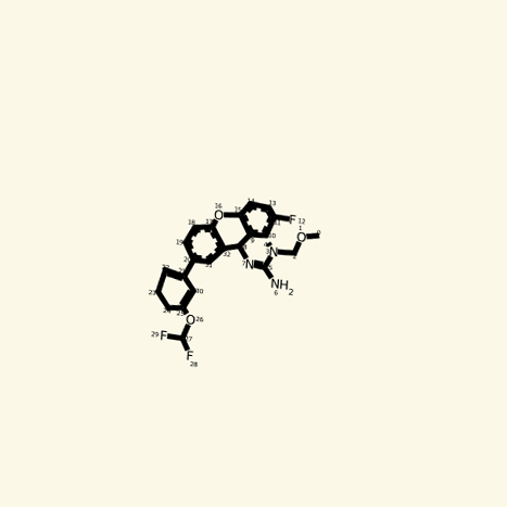 COCN(C)/C(N)=N\C1c2cc(F)ccc2Oc2ccc(C3=CCCC(OC(F)F)=C3)cc21